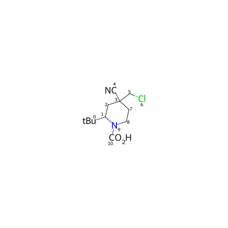 CC(C)(C)C1CC(C#N)(CCl)CCN1C(=O)O